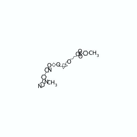 Cc1ccc(S(=O)(=O)OCCCCOCC23CC4(CO[C@H]5C[C@H](Oc6ccc(-c7ccc8c9cnccc9n(C)c8c7)cn6)C5)CC24C3)cc1